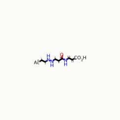 CC(=O)CCNNCCC(=O)NCCC(=O)O